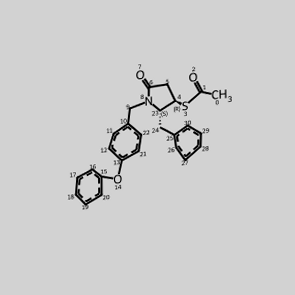 CC(=O)S[C@@H]1CC(=O)N(Cc2ccc(Oc3ccccc3)cc2)[C@H]1Cc1ccccc1